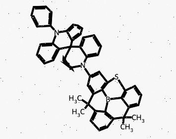 CC1(C)c2cccc3c2B2c4c(cc(N5c6ccccc6C6(c7ccccc7N(c7ccccc7)c7ccccc76)c6ccccc65)cc4C(C)(C)c4cccc1c42)S3